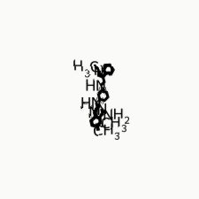 Cc1ccc2nc(N[C@@H]3CCC[C@@H](NCc4cn(C)c5ccccc45)C3)nc(N)c2c1C